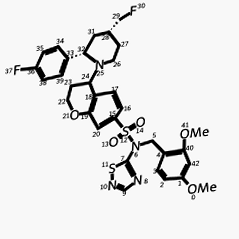 COc1ccc(CN(c2ncns2)S(=O)(=O)c2ccc3c(c2)OCCC3N2CC[C@@H](CF)C[C@H]2c2ccc(F)cc2)c(OC)c1